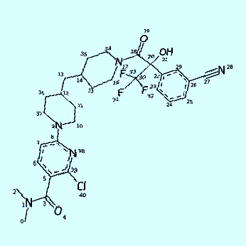 CN(C)C(=O)c1ccc(N2CCC(CC3CCN(C(=O)C(O)(c4cccc(C#N)c4)C(F)(F)F)CC3)CC2)nc1Cl